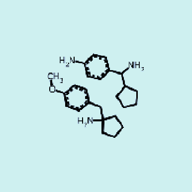 COc1ccc(CC2(N)CCCC2)cc1.Nc1ccc(C(N)C2CCCC2)cc1